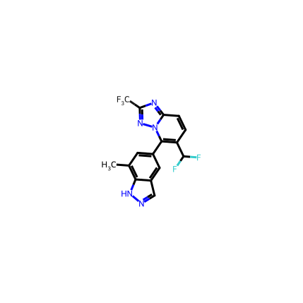 Cc1cc(-c2c(C(F)F)ccc3nc(C(F)(F)F)nn23)cc2cn[nH]c12